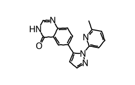 Cc1cccc(-n2nccc2-c2ccc3nc[nH]c(=O)c3c2)n1